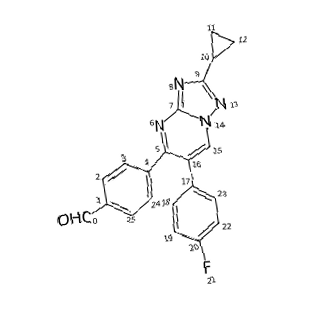 O=Cc1ccc(-c2nc3nc(C4CC4)nn3cc2-c2ccc(F)cc2)cc1